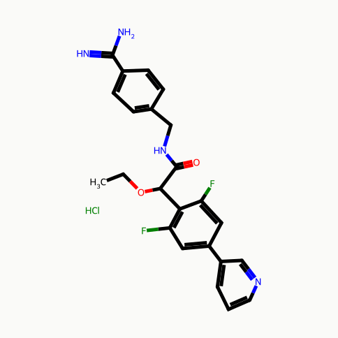 CCOC(C(=O)NCc1ccc(C(=N)N)cc1)c1c(F)cc(-c2cccnc2)cc1F.Cl